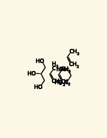 C=CC.C=CC.C=CC.CCCCCCCCCCCC(=O)O.OCC(O)CO